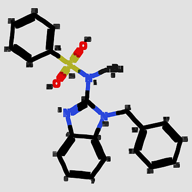 CCCCN(c1nc2ccccc2n1Cc1ccccc1)S(=O)(=O)c1ccccc1